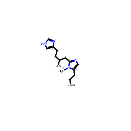 CC(CCc1c[nH]cn1)Cc1ncc(CCC(C)(C)C)n1C